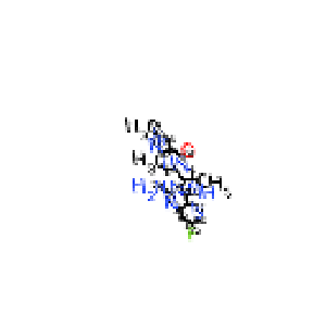 CCCC[C@](C)(CNC(=O)c1cnn(C)c1)Nc1nc(N)nc2cc(F)cnc12